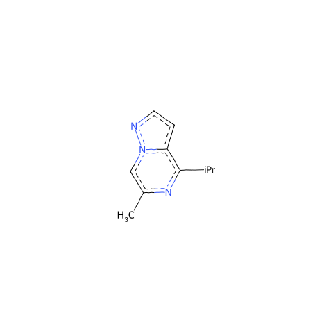 Cc1cn2nccc2c(C(C)C)n1